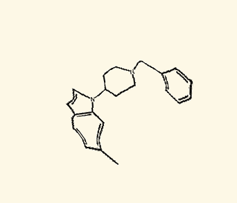 Cc1ccc2ccn(C3CCN(Cc4ccccc4)CC3)c2c1